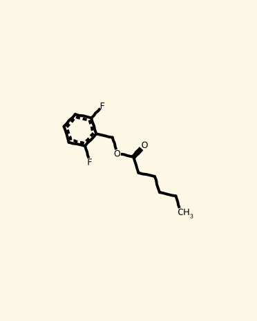 CCCCCC(=O)OCc1c(F)cccc1F